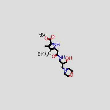 CCOC(=O)c1c(CC(=O)NCC(CO)CN2CCOCC2)[nH]c(C(=O)OC(C)(C)C)c1C